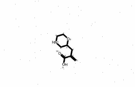 C=C(CC1CNCCO1)C(=O)O